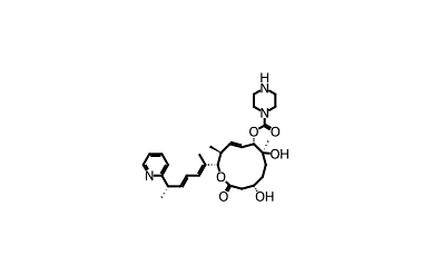 C/C(=C\C=C\[C@H](C)c1ccccn1)[C@H]1OC(=O)C[C@@H](O)CC[C@](C)(O)[C@@H](OC(=O)N2CCNCC2)/C=C/[C@@H]1C